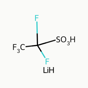 O=S(=O)(O)C(F)(F)C(F)(F)F.[LiH]